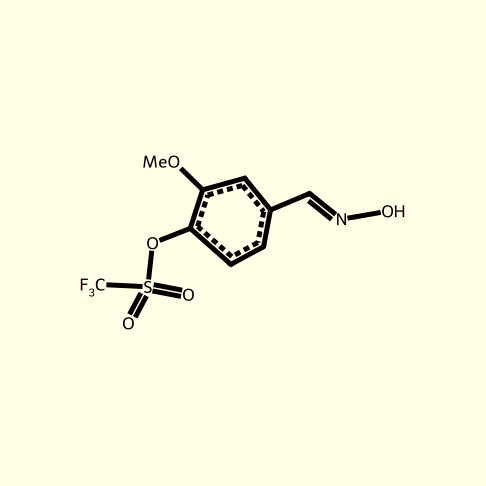 COc1cc(C=NO)ccc1OS(=O)(=O)C(F)(F)F